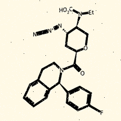 CCN(C(=O)O)[C@H]1CO[C@@H](C(=O)N2CCc3ccccc3[C@@H]2c2ccc(F)cc2)C[C@@H]1N=[N+]=[N-]